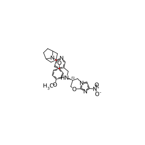 COc1ccc(OC2CC3CCC(C2)N3c2ccc(CN[C@@H]3COc4nc([N+](=O)[O-])cn4C3)cn2)cc1